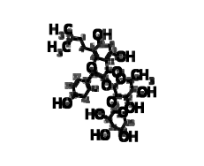 CC(C)=CCc1c(O)cc(O)c2c(=O)c(O[C@@H]3O[C@@H](C)[C@H](O)[C@@H](O)[C@H]3O[C@@H]3OC[C@@H](O)[C@H](O)[C@H]3O)c(-c3ccc(O)cc3)oc12